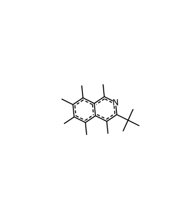 Cc1c(C)c(C)c2c(C)c(C(C)(C)C)nc(C)c2c1C